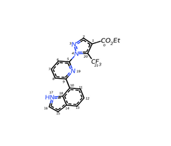 CCOC(=O)c1cnn(-c2cccc(-c3cccc4cc[nH]c34)n2)c1C(F)(F)F